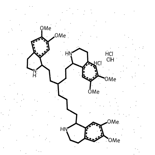 COc1cc2c(cc1OC)C(CCCCC(CCC1NCCc3cc(OC)c(OC)cc31)CCC1NCCc3cc(OC)c(OC)cc31)NCC2.Cl.Cl.Cl